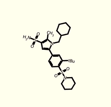 Cc1c(S(N)(=O)=O)cc(-c2ccc(S(=O)(=O)N3CCCCC3)c(C(C)(C)C)c2)n1CC1CCCCC1